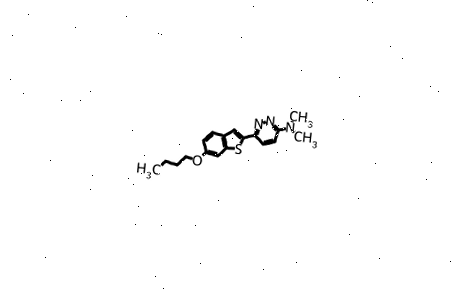 CCCCOc1ccc2cc(-c3ccc(N(C)C)nn3)sc2c1